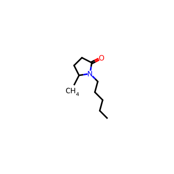 C.CCCCCN1C(=O)CCC1C